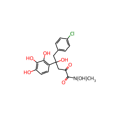 CN(O)C(=O)C(=O)CC(O)(Cc1ccc(Cl)cc1)c1ccc(O)c(O)c1O